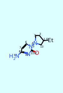 CCC1CCN(n2ccc(N)nc2=O)C1